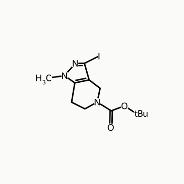 Cn1nc(I)c2c1CCN(C(=O)OC(C)(C)C)C2